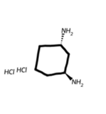 Cl.Cl.N[C@H]1CCC[C@H](N)C1